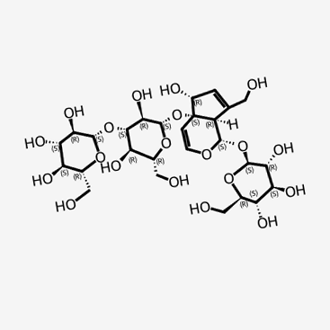 OCC1=C[C@@H](O)[C@]2(O[C@@H]3O[C@H](CO)[C@@H](O)[C@H](O[C@@H]4O[C@H](CO)[C@@H](O)[C@H](O)[C@H]4O)[C@H]3O)C=CO[C@@H](O[C@@H]3O[C@H](CO)[C@@H](O)[C@H](O)[C@H]3O)[C@H]12